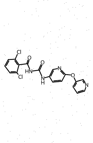 O=C(NC(=O)c1c(Cl)cccc1Cl)Nc1ccc(Oc2cccnc2)nc1